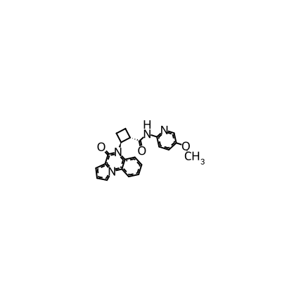 COc1ccc(NC(=O)[C@H]2CC[C@@H]2n2c(=O)c3cccn3c3ccccc32)nc1